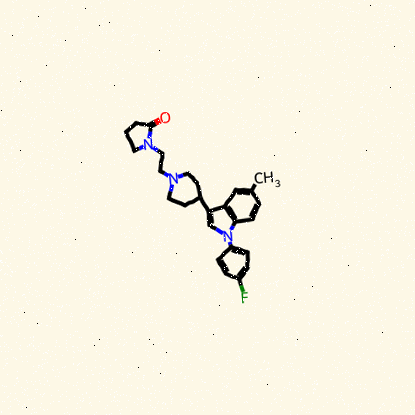 Cc1ccc2c(c1)c(C1CCN(CCN3CCCC3=O)CC1)cn2-c1ccc(F)cc1